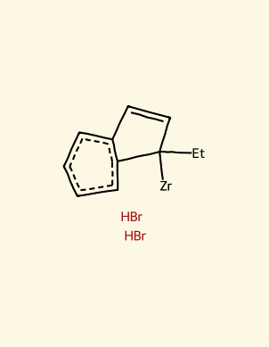 Br.Br.CC[C]1([Zr])C=Cc2ccccc21